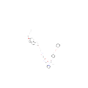 CCCC[C@H](NC(=O)[C@H](Cc1ccccc1)NC(=O)CCC(=O)NCCCO[C@H]1CC[C@@]2(C)C(=CC[C@H]3[C@@H]4CC[C@H]([C@H](C)CCCC(C)C)[C@@]4(C)CC[C@@H]32)C1)C(=O)Nc1ccc(COC(=O)Oc2ccc(C)cc2)cc1